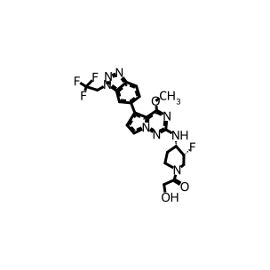 COc1nc(N[C@H]2CCN(C(=O)CO)C[C@H]2F)nn2ccc(-c3ccc4nnn(CC(F)(F)F)c4c3)c12